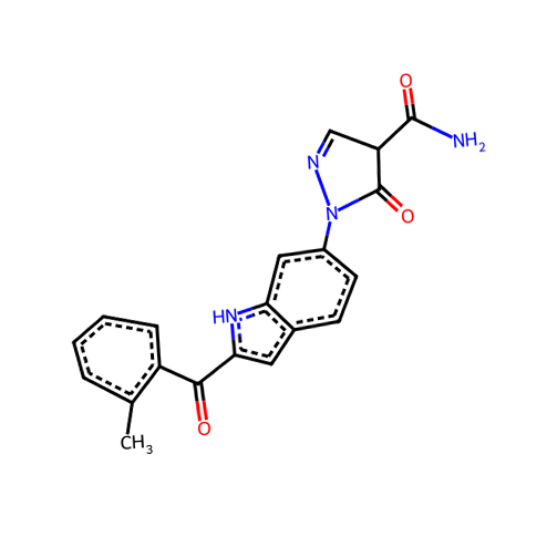 Cc1ccccc1C(=O)c1cc2ccc(N3N=CC(C(N)=O)C3=O)cc2[nH]1